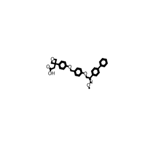 CO/N=C(\COc1ccc(COc2ccc(C3(CC(=O)O)COC3)cc2)cc1)c1ccc(-c2ccccc2)cc1